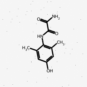 Cc1cc(O)cc(C)c1NC(=O)C(N)=O